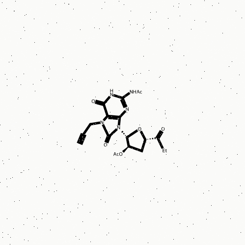 C#CCn1c(=O)n([C@@H]2O[C@H](C(=O)CC)C[C@H]2OC(C)=O)c2nc(NC(C)=O)[nH]c(=O)c21